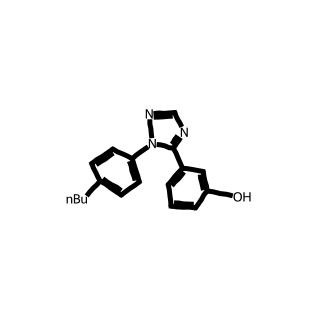 CCCCc1ccc(-n2ncnc2-c2cccc(O)c2)cc1